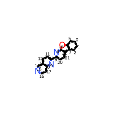 c1ccc2c(c1)oc1nc(-c3ccc4cnccc4n3)ccc12